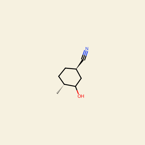 C[C@@H]1CC[C@@H](C#N)CC1O